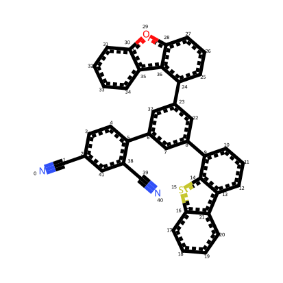 N#Cc1ccc(-c2cc(-c3cccc4c3sc3ccccc34)cc(-c3cccc4oc5ccccc5c34)c2)c(C#N)c1